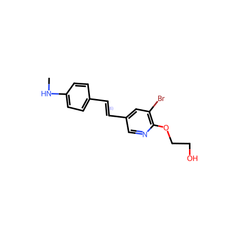 CNc1ccc(/C=C/c2cnc(OCCO)c(Br)c2)cc1